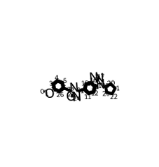 COc1cccc(-c2nc(-c3ccc4c(c3)nnn4C3CCCC3)no2)c1